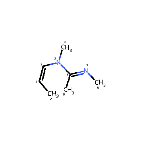 C/C=C\N(C)/C(C)=N/C